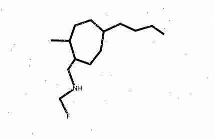 CCCCC1CCC(C)C(CNCF)CC1